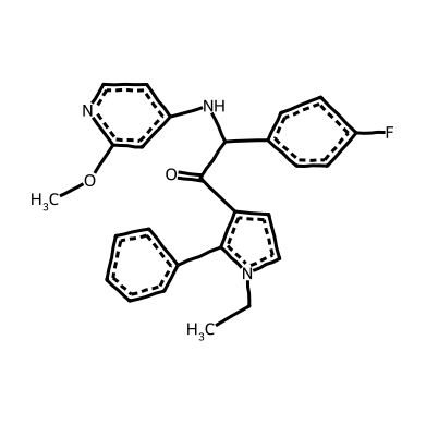 CCn1ccc(C(=O)C(Nc2ccnc(OC)c2)c2ccc(F)cc2)c1-c1ccccc1